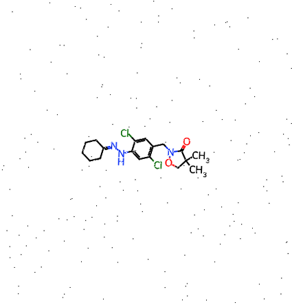 CC1(C)CON(Cc2cc(Cl)c(NN=C3CCCCC3)cc2Cl)C1=O